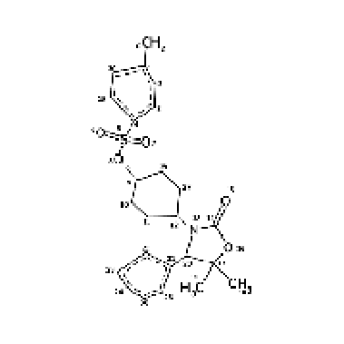 Cc1ccc(S(=O)(=O)O[C@H]2CC[C@@H](N3C(=O)OC(C)(C)C3c3ccccc3)CC2)cc1